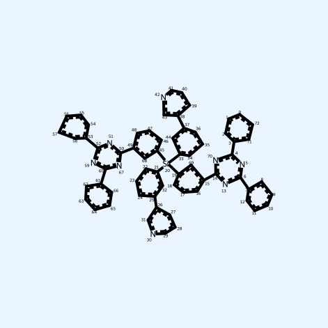 c1ccc(-c2nc(-c3ccccc3)nc(-c3cccc([Si](c4cccc(-c5cccnc5)c4)(c4cccc(-c5cccnc5)c4)c4cccc(-c5nc(-c6ccccc6)nc(-c6ccccc6)n5)c4)c3)n2)cc1